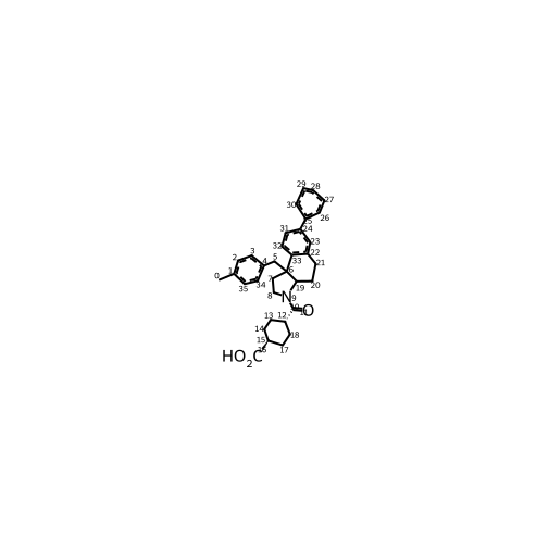 Cc1ccc(CC23CCN(C(=O)[C@H]4CC[C@H](C(=O)O)CC4)C2CCc2cc(-c4ccccc4)ccc23)cc1